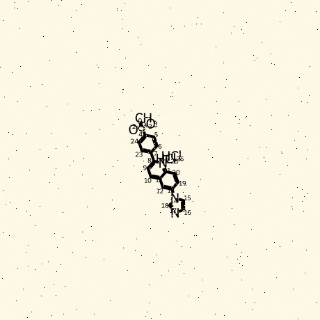 CS(=O)(=O)c1ccc(-c2ccc3cc(-n4ccnc4)ccc3n2)cc1.Cl.Cl